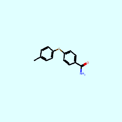 Cc1ccc(Sc2ccc(C(N)=O)cc2)cc1